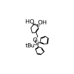 CC(C)(C)[Si](OCC1=C[C@H](O)[C@@H](O)CC1)(c1ccccc1)c1ccccc1